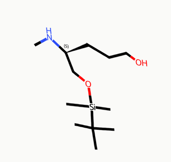 CN[C@@H](CCCO)CO[Si](C)(C)C(C)(C)C